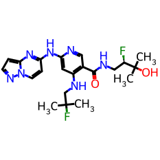 CC(C)(F)CNc1cc(Nc2ccn3nccc3n2)ncc1C(=O)NC[C@@H](F)C(C)(C)O